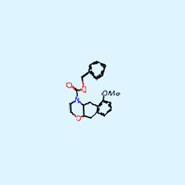 COc1cccc2c1CC1C(C2)OCCN1C(=O)OCc1ccccc1